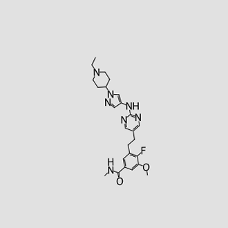 CCN1CCC(n2cc(Nc3ncc(CCc4cc(C(=O)NC)cc(OC)c4F)cn3)cn2)CC1